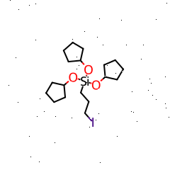 ICCC[Si](OC1CCCC1)(OC1CCCC1)OC1CCCC1